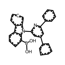 OB(O)c1cccc2c3ccccc3n(-c3cc(-c4ccccc4)cc(-c4ccccc4)n3)c12